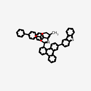 C\C1=C(c2ccccc2)/N=C(c2cccc3c4ccccc4c4cc(-c5ccc6sc7ccccc7c6c5)ccc4c23)\C=C(\c2ccc(-c3ccccc3)cc2)CC1